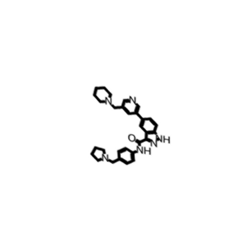 O=C(Nc1ccc(CN2CCCC2)cc1)c1n[nH]c2ccc(-c3cncc(CN4CCCCC4)c3)cc12